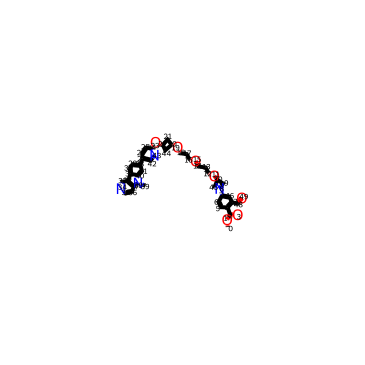 COC(=O)c1ccc(N2CC(OCCCOCCCOC3CC(Oc4ccc(-c5ccc6c7cnccc7n(C)c6c5)cn4)C3)C2)cc1C=O